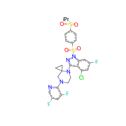 CC(C)S(=O)(=O)c1ccc(S(=O)(=O)n2nc(N3CCN(c4ncc(F)cc4F)CC34CC4)c3c(Cl)cc(F)cc32)cc1